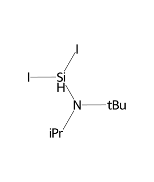 CC(C)N([SiH](I)I)C(C)(C)C